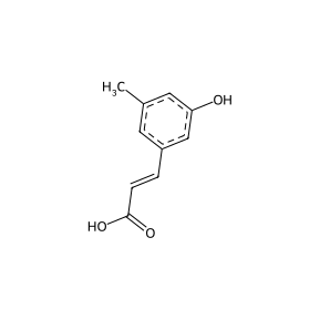 Cc1cc(O)cc(C=CC(=O)O)c1